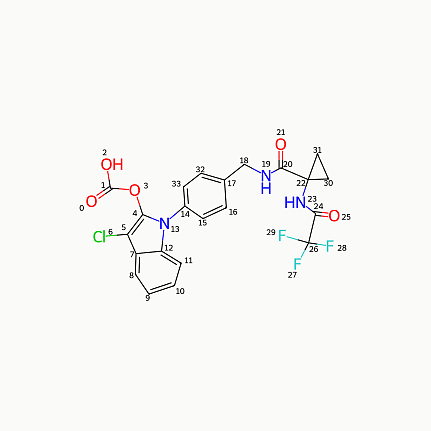 O=C(O)Oc1c(Cl)c2ccccc2n1-c1ccc(CNC(=O)C2(NC(=O)C(F)(F)F)CC2)cc1